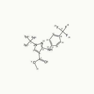 [2H]C([2H])([2H])n1cc(C(=O)OC)c(Nc2ccc(C(F)(F)F)cc2)n1